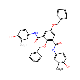 O=C(O)c1cc(NC(=O)c2cc(OCc3ccccc3)cc(C(=O)Nc3ccc(O)c(C(=O)O)c3)c2OCc2ccccc2)ccc1O